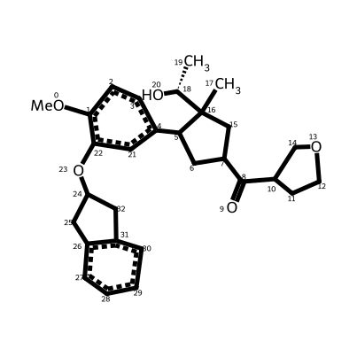 COc1ccc(C2CC(C(=O)C3CCOC3)CC2(C)[C@@H](C)O)cc1OC1Cc2ccccc2C1